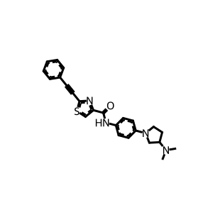 CN(C)C1CCN(c2ccc(NC(=O)c3csc(C#Cc4ccccc4)n3)cc2)C1